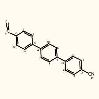 C=Nc1ccc(-c2ccc(-c3ccc(C#N)cc3)cc2)cc1